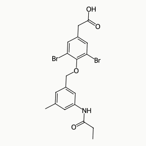 CCC(=O)Nc1cc(C)cc(COc2c(Br)cc(CC(=O)O)cc2Br)c1